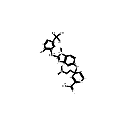 CN(C)CCC1(Oc2ccc3c(c2)nc(Nc2cc(C(F)(F)F)ccc2F)n3C)C=CNC(C(N)=O)=C1